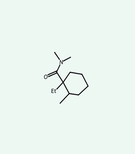 CCC1(C(=O)N(C)C)CCCCC1C